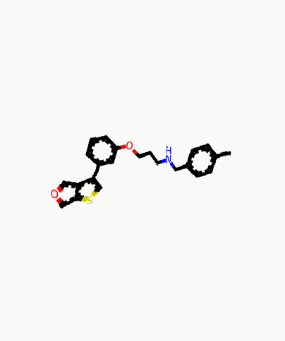 Cc1ccc(CNCCCOc2cccc(-c3csc4cocc34)c2)cc1